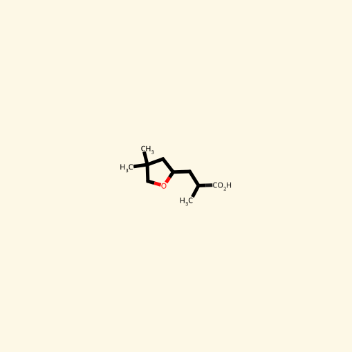 CC(CC1CC(C)(C)CO1)C(=O)O